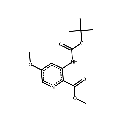 COC(=O)c1ncc(OC)cc1NC(=O)OC(C)(C)C